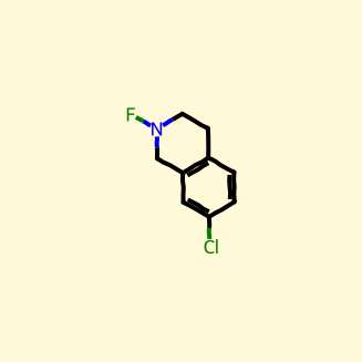 FN1CCc2ccc(Cl)cc2C1